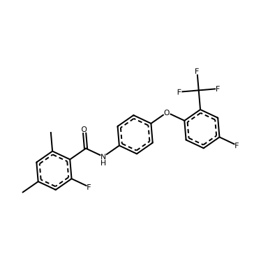 Cc1cc(C)c(C(=O)Nc2ccc(Oc3ccc(F)cc3C(F)(F)F)cc2)c(F)c1